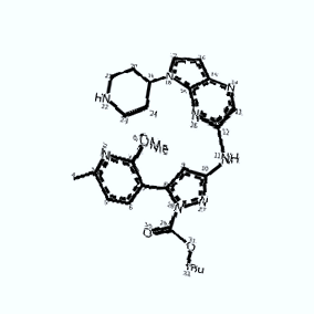 COc1nc(C)ccc1-c1cc(Nc2cnc3ccn(C4CCNCC4)c3n2)nn1C(=O)OC(C)(C)C